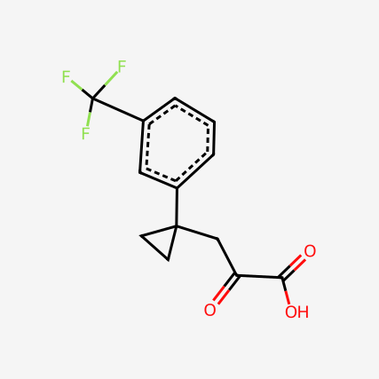 O=C(O)C(=O)CC1(c2cccc(C(F)(F)F)c2)CC1